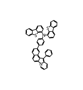 c1ccc(-c2c3c4cc(-c5ccc(N(c6cccc7c6sc6ccccc67)c6cccc7c6sc6ccccc67)cc5)ccc4ccc3n3ccccc23)cc1